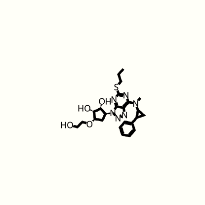 CCCSc1nc(N(C)C2CC2c2ccccc2)c2nnn([C@H]3C[C@@H](OCCO)[C@H](O)[C@@H]3O)c2n1